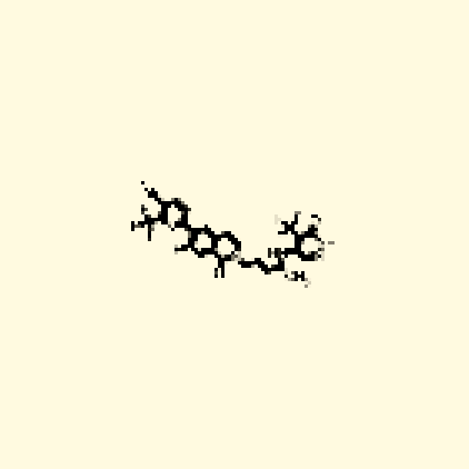 C[C@@H](CCCn1ccc2cc(-c3ccc(C#N)c(C(F)(F)F)n3)c(F)cc2c1=O)Nc1cn[nH]c(=O)c1C(F)(F)F